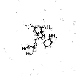 NC1CCCCC1.Nc1nc(N)c2ncn(COC(CO)CO)c2n1